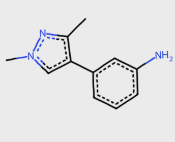 Cc1nn(C)cc1-c1cccc(N)c1